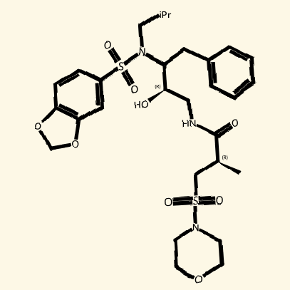 CC(C)CN(C(Cc1ccccc1)[C@H](O)CNC(=O)[C@@H](C)CS(=O)(=O)N1CCOCC1)S(=O)(=O)c1ccc2c(c1)OCO2